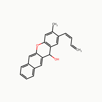 C=C/C=C\c1cc2c(cc1C)Oc1cc3ccccc3cc1C2O